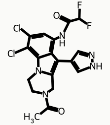 CC(=O)N1CCn2c(c(-c3cn[nH]c3)c3c(NC(=O)C(F)F)cc(Cl)c(Cl)c32)C1